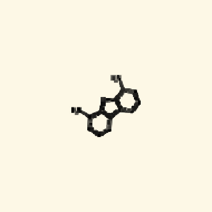 Nc1cccc2c1oc1c(N)cccc12